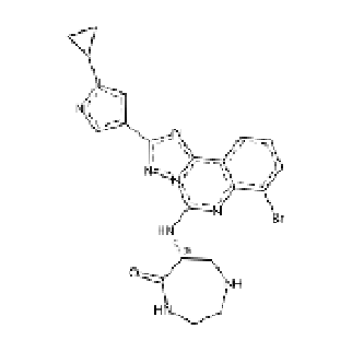 O=C1NCCNC[C@H]1Nc1nc2c(Br)cccc2c2nc(-c3cnn(C4CC4)c3)nn12